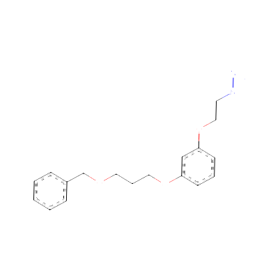 NNCCOc1cccc(OCCCOCc2ccccc2)c1